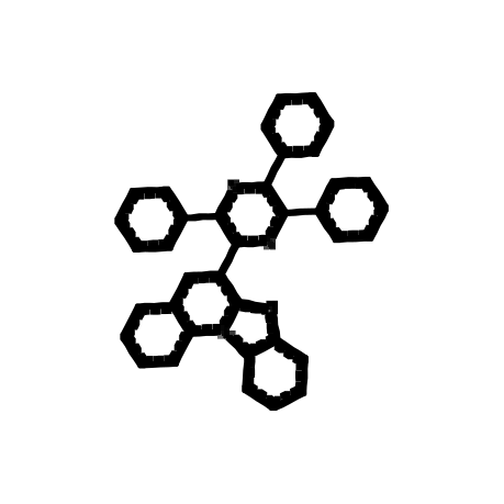 c1ccc(-c2nc(-c3ccccc3)c(-c3cc4ccccc4n4c3nc3ccccc34)nc2-c2ccccc2)cc1